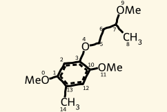 COc1cc(OCCC(C)OC)c(OC)cc1C